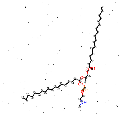 CCCCCCCCCCCCCCCCCC(=O)OCC(COPOCCNC)OC(=O)CCCCCCCCCCCCCCCCC